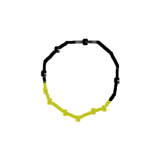 C1CCCCCSSSSSSCCCC1